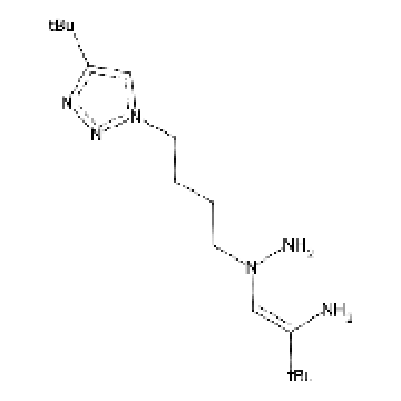 CC(C)(C)/C(N)=C/N(N)CCCCn1cc(C(C)(C)C)nn1